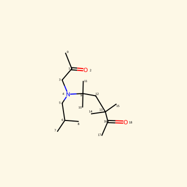 CC(=O)CN(CC(C)C)C(C)(C)CC(C)(C)C(C)=O